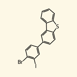 Brc1ccc(-c2ccc3sc4ccccc4c3c2)cc1I